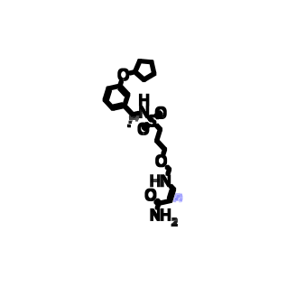 C[C@@H](NS(=O)(=O)CCCOCN/C=C\C(N)=O)c1cccc(OC2CCCC2)c1